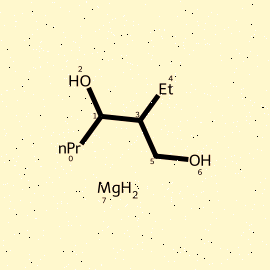 CCCC(O)C(CC)CO.[MgH2]